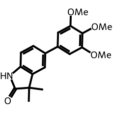 COc1cc(-c2ccc3c(c2)C(C)(C)C(=O)N3)cc(OC)c1OC